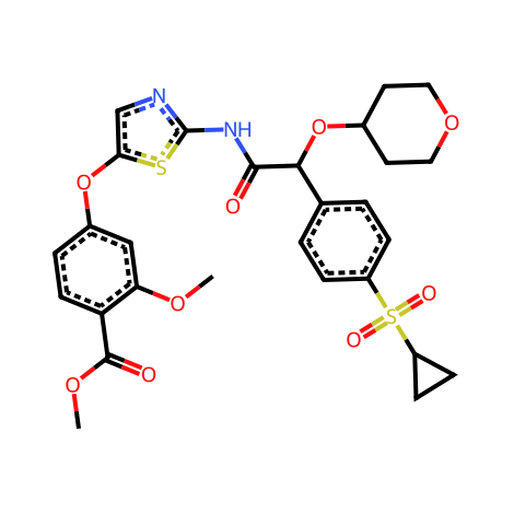 COC(=O)c1ccc(Oc2cnc(NC(=O)C(OC3CCOCC3)c3ccc(S(=O)(=O)C4CC4)cc3)s2)cc1OC